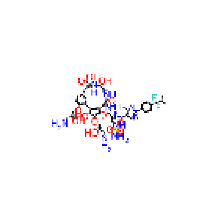 Cc1nc(-c2ccc(C(F)(F)C(C)C)cc2)ncc1C(=O)N[C@@H](CNS(N)(=O)=O)C(=O)N(C)[C@@H]1C(=O)N[C@@H](C)C(O)N[C@H](C(=O)O)Cc2ccc(OC[C@H](O)CN)c(c2)-c2cc1cc(OC[C@H](O)CN)c2O